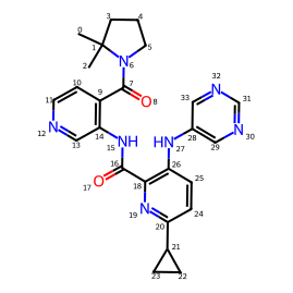 CC1(C)CCCN1C(=O)c1ccncc1NC(=O)c1nc(C2CC2)ccc1Nc1cncnc1